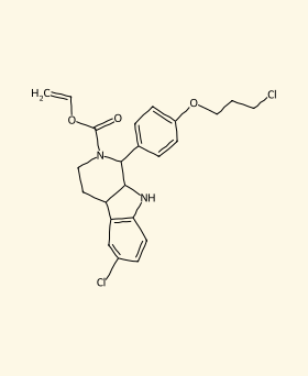 C=COC(=O)N1CCC2c3cc(Cl)ccc3NC2C1c1ccc(OCCCCl)cc1